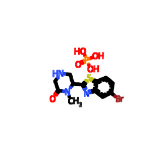 CN1C(=O)CNCC1c1nc2cc(Br)ccc2s1.O=P(O)(O)O